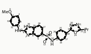 COc1ccc(Nc2nc3cc(S(=O)(=O)Nc4ccc(-c5nnc(C(C)C)o5)cc4)ccc3[nH]2)cc1